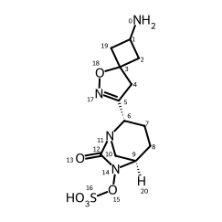 NC1CC2(CC([C@@H]3CC[C@@H]4CN3C(=O)N4OS(=O)(=O)O)=NO2)C1